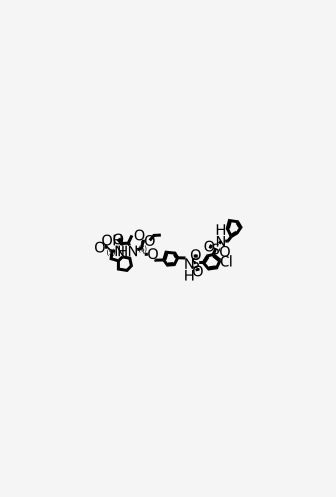 CCOC(=O)[C@H](COCc1ccc(CNS(=O)(=O)c2ccc(Cl)c(S(=O)(=O)NCc3ccccc3)c2)cc1)NC(C)C(=O)N1C2CCCCC2C[C@H]1C(=O)O